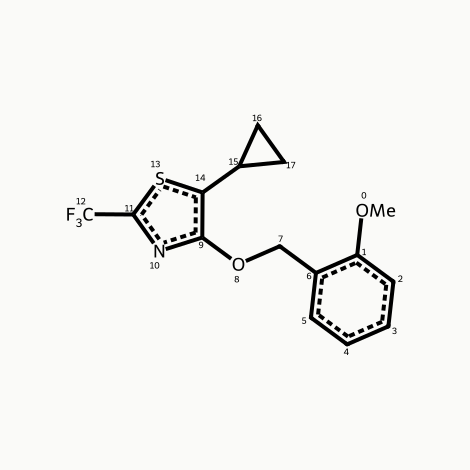 COc1ccccc1COc1nc(C(F)(F)F)sc1C1CC1